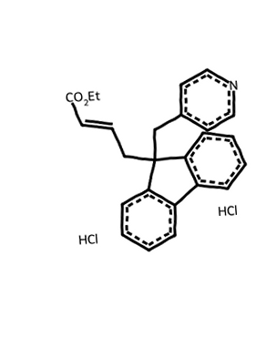 CCOC(=O)C=CCC1(Cc2ccncc2)c2ccccc2-c2ccccc21.Cl.Cl